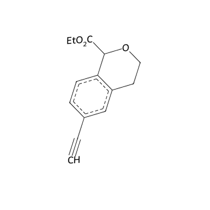 C#Cc1ccc2c(c1)CCOC2C(=O)OCC